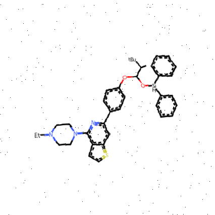 CCN1CCN(c2nc(-c3ccc(OC(O[SiH](c4ccccc4)c4ccccc4)C(C)C(C)(C)C)cc3)cc3sccc23)CC1